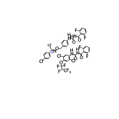 O=C(NC(=O)c1c(F)cccc1F)Nc1cc(Cl)c(OC(F)(F)C(F)C(F)(F)F)cc1Cl.O=C(NC(=O)c1c(F)cccc1F)Nc1ccc(CO/N=C(/c2ccc(Cl)cc2)C2CC2)cc1